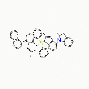 CC(C)=Cc1c(CS(c2ccccc2)(c2ccccc2)C2C(C)=Cc3c2cccc3N2c3ccccc3CC2C)cccc1-c1cccc2ccccc12